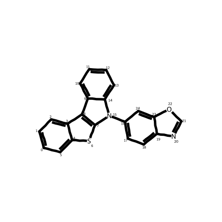 c1ccc2c(c1)sc1c2c2ccccc2n1-c1ccc2ncoc2c1